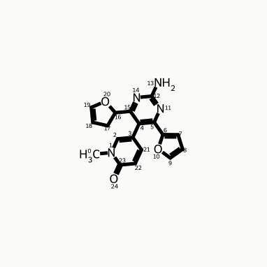 Cn1cc(-c2c(-c3ccco3)nc(N)nc2C2CC=CO2)ccc1=O